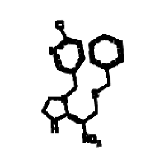 O=[N+]([O-])C(CSCc1ccccc1)=C1NCCN1Cc1ccc(Cl)nc1